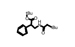 [CH2]CC(C)CC(=O)NCC(C(=O)OC(C)(C)C)c1ccccc1